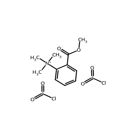 COC(=O)c1ccccc1[N+](C)(C)C.O=I(=O)Cl.O=I(=O)Cl